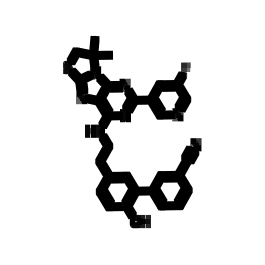 CC1(C)CSc2nc3c(NCCc4ccc(O)c(-c5cccc(C#N)c5)c4)nc(-c4cncc(F)c4)nc3n21